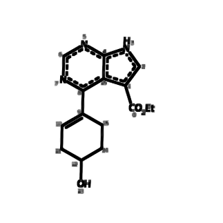 CCOC(=O)c1c[nH]c2ncnc(C3=CCC(O)CC3)c12